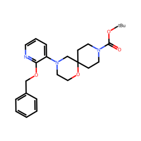 CC(C)(C)OC(=O)N1CCC2(CC1)CN(c1cccnc1OCc1ccccc1)CCO2